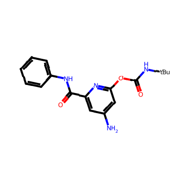 CC(C)(C)NC(=O)Oc1cc(N)cc(C(=O)Nc2ccccc2)n1